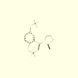 CC1(C)C=C(N2CCCC2=O)c2cc(SC(F)(F)F)ccc2O1